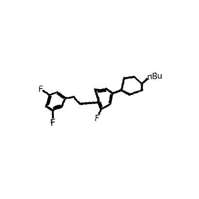 CCCCC1CCC(c2ccc(CCc3cc(F)cc(F)c3)c(F)c2)CC1